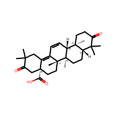 CC1(C)CC2=C3C=C[C@@H]4[C@@]5(C)CCC(=O)C(C)(C)[C@@H]5CC[C@@]4(C)[C@]3(C)CC[C@@]2(C(=O)O)CC1=O